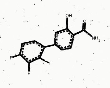 NC(=O)c1ccc(-c2ccc(F)c(F)c2F)cc1O